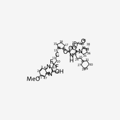 COc1ccc2nc(C(F)(F)CCCC[C@@H]3CCCC3OC(=O)NC(CCC3CCCCC3)C(=O)N3CC[C@@H](C)[C@H]3C(=O)C(C)C)c(O)nc2c1